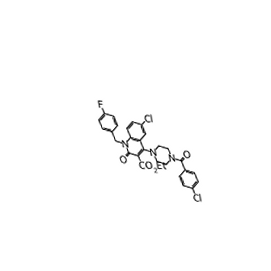 CCOC(=O)c1c(N2CCN(C(=O)c3ccc(Cl)cc3)CC2)c2cc(Cl)ccc2n(Cc2ccc(F)cc2)c1=O